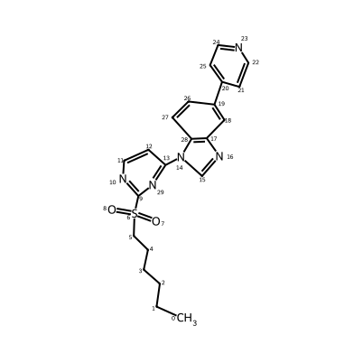 CCCCCCS(=O)(=O)c1nccc(-n2cnc3cc(-c4ccncc4)ccc32)n1